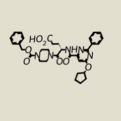 O=C(O)CC[C@H](NC(=O)c1cc(OC2CCCC2)nc(-c2ccccc2)n1)C(=O)N1CCN(C(=O)OCc2ccccc2)CC1